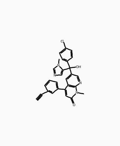 C#Cc1cccc(-c2cc(=O)n(C)c3ncc(C(O)(c4ccc(Cl)cc4)c4cncn4C)cc23)c1